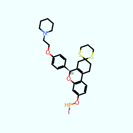 IPOc1ccc2c(c1)O[C@@H](c1ccc(OCCN3CCCCC3)cc1)C1=C2CCC2(C1)SCCCS2